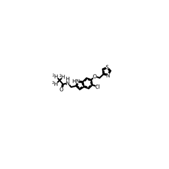 [2H]C([2H])([2H])C(=O)NCc1cc2cc(Cl)c(OCc3cscn3)cc2[nH]1